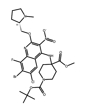 COC(=O)C1(Nc2c([N+](=O)[O-])c(OC[C@@H]3CCCN3C)nc3c(F)c(Br)c(Cl)cc23)CCN(C(=O)OC(C)(C)C)CC1